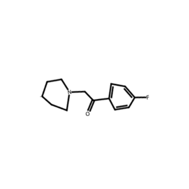 O=C(CN1CC[CH]CC1)c1ccc(F)cc1